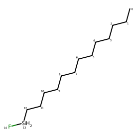 CCCCCCCCCCCCC[SiH2]F